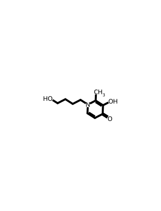 Cc1c(O)c(=O)ccn1CCCCO